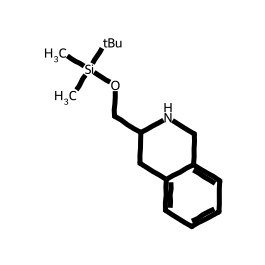 CC(C)(C)[Si](C)(C)OCC1Cc2ccccc2CN1